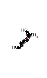 COc1nc(O[C@@H]2CCc3c(-c4cccc(Nc5nccc6cc(CN7CC[C@@H](O)C7)cnc56)c4F)cccc32)cnc1CN1CC[C@@H](O)C1